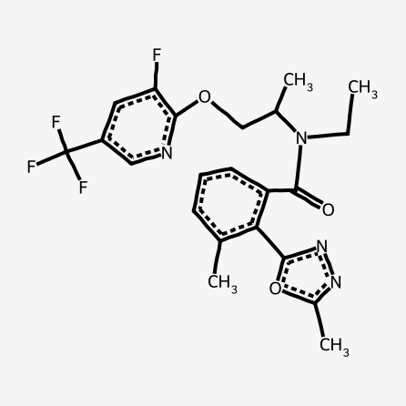 CCN(C(=O)c1cccc(C)c1-c1nnc(C)o1)C(C)COc1ncc(C(F)(F)F)cc1F